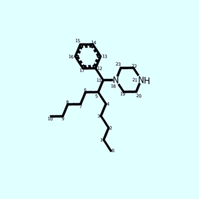 CCCCCC(CCCCC)C(c1ccccc1)N1CCNCC1